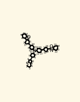 c1csc2cc(-c3ccc(N(c4ccc(-c5ccc(-c6nc7ccccc7o6)cc5)cc4)c4ccc(-c5ccc6c(c5)oc5ccccc56)cc4)cc3)cc-2c1